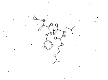 CC(C)C[C@H](NC(=O)OCCOC(C)C)C(=O)N[C@@H](Cc1ccccc1)C(=O)C(=O)NC1CC1